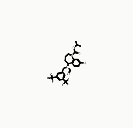 CC(C)OC(=O)N1CCCC(N(C=O)Cc2cc(C(F)(F)F)cc(C(F)(F)F)c2)c2ccc(Cl)cc21